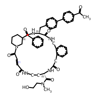 CC(=O)c1ccc(-c2ccc(C[C@@H]3NC(=O)[C@]4(Cc5ccccc5)CCCN(C4)C(=O)/C=C/C(=O)NCC[C@@H](C(=O)N(C)CCO)NC(=O)Cc4ccccc4CNC3=O)cc2)cc1